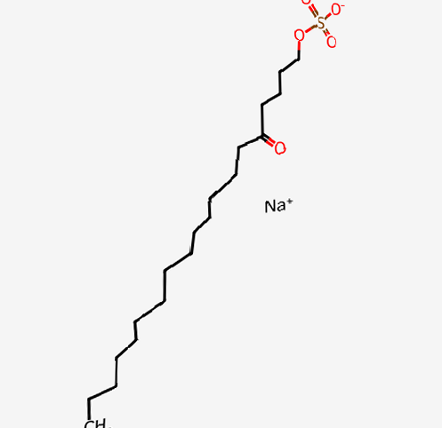 CCCCCCCCCCCCCCC(=O)CCCCOS(=O)(=O)[O-].[Na+]